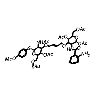 CCCCOCC1O[C@@H](Sc2ccc(OC)cc2)C(NC(C)=O)C(OC/C=C/COC2C(NC(=O)c3ccccc3N)[C@H](OC(C)=O)OC(COC(C)=O)[C@@H]2OC(C)=O)[C@H]1OC(C)=O